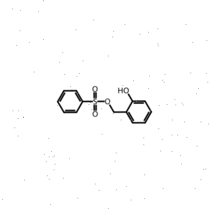 O=S(=O)(OCc1ccccc1O)c1ccccc1